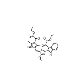 CCOC(=O)C(=O)c1c(C)[nH]c(C=C2N=C(c3[nH]c4ccccc4c3C(=O)C(=O)OCC)C=C2OC)c1C